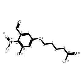 O=Cc1cc(OCCCCC(=O)Cl)cc(Cl)c1[N+](=O)[O-]